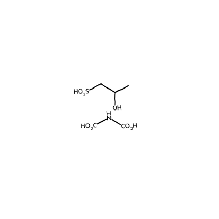 CC(O)CS(=O)(=O)O.O=C(O)NC(=O)O